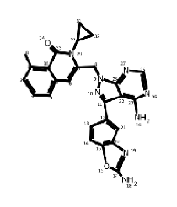 Cc1cccc2cc(Cn3nc(-c4ccc5oc(N)nc5c4)c4c(N)ncnc43)n(C3CC3)c(=O)c12